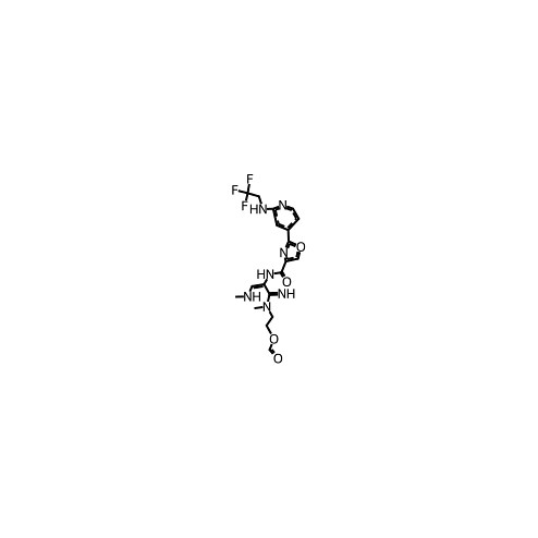 CN/C=C(/NC(=O)c1coc(-c2ccnc(NCC(F)(F)F)c2)n1)C(=N)N(C)CCOC=O